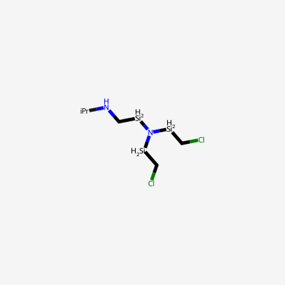 CC(C)NC[SiH2]N([SiH2]CCl)[SiH2]CCl